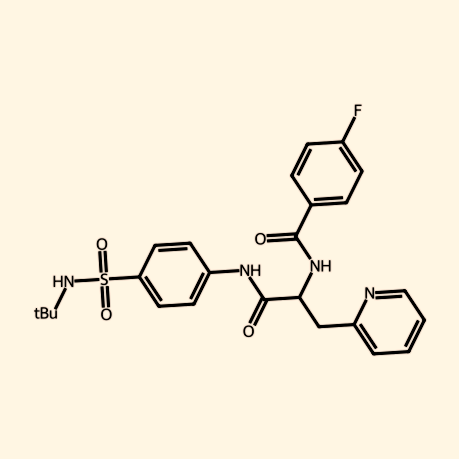 CC(C)(C)NS(=O)(=O)c1ccc(NC(=O)C(Cc2ccccn2)NC(=O)c2ccc(F)cc2)cc1